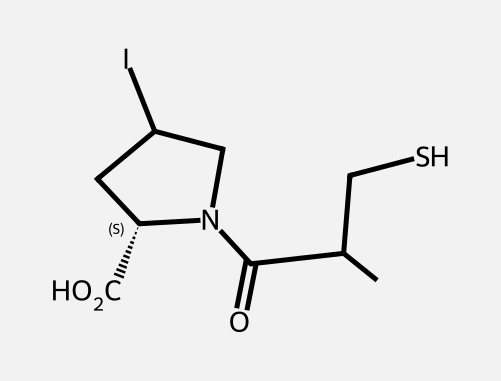 CC(CS)C(=O)N1CC(I)C[C@H]1C(=O)O